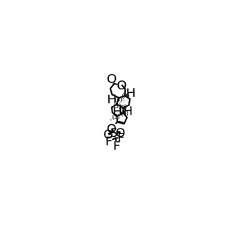 C[C@]12CCC(=O)OC[C@@H]1CC[C@@H]1[C@@H]2CC[C@]2(C)C(OS(=O)(=O)C(F)(F)F)=CC[C@@H]12